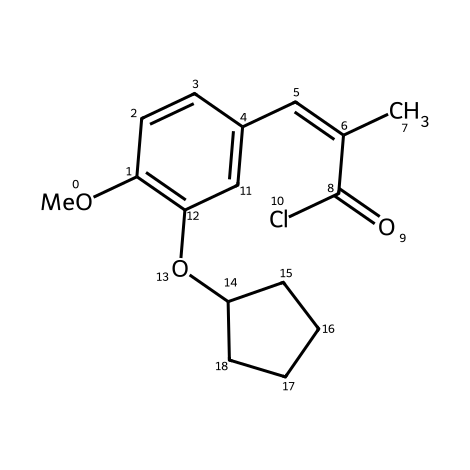 COc1ccc(C=C(C)C(=O)Cl)cc1OC1CCCC1